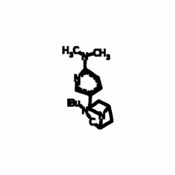 CCC(C)N1CC2CC(C1)N2Cc1ccc(N(C)C)nc1